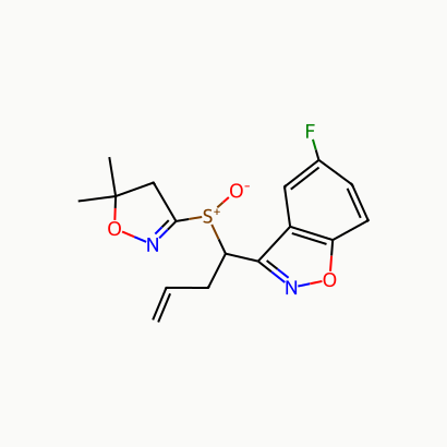 C=CCC(c1noc2ccc(F)cc12)[S+]([O-])C1=NOC(C)(C)C1